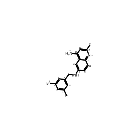 [CH2]c1cc(Br)cc(CNc2ccc3nc(C)cc(N)c3c2)c1